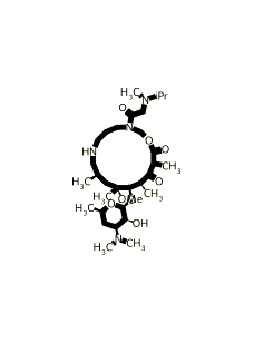 CO[C@]1(C)C[C@@H](C)CNCCCN(C(=O)CN(C)C(C)C)COC(=O)C(C)C(=O)[C@H](C)[C@H]1O[C@@H]1O[C@H](C)C[C@H](N(C)C)[C@H]1O